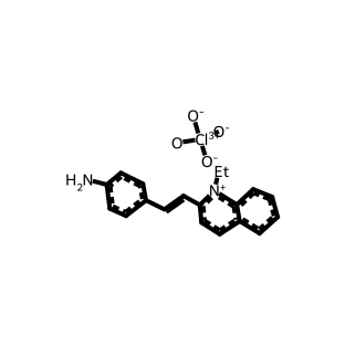 CC[n+]1c(/C=C/c2ccc(N)cc2)ccc2ccccc21.[O-][Cl+3]([O-])([O-])[O-]